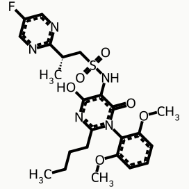 CCCCc1nc(O)c(NS(=O)(=O)C[C@H](C)c2ncc(F)cn2)c(=O)n1-c1c(OC)cccc1OC